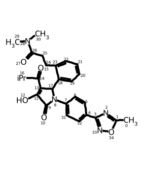 Cc1nc(-c2ccc(N3C(=O)C(O)=C(C(=O)C(C)C)C3c3ccccc3CCC(=O)N(C)C)cc2)no1